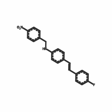 O=[N+]([O-])c1ccc(CNc2ccc(/C=C/c3ccc(F)cc3)cc2)cc1